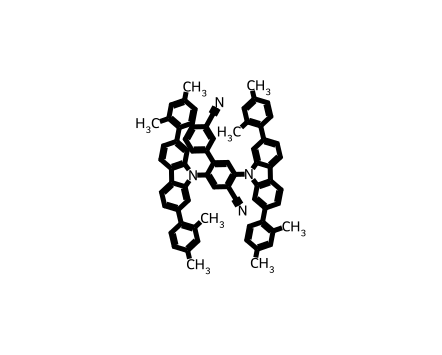 Cc1ccc(-c2ccc3c4ccc(-c5ccc(C)cc5C)cc4n(-c4cc(-c5cccc(C#N)c5)c(-n5c6cc(-c7ccc(C)cc7C)ccc6c6ccc(-c7ccc(C)cc7C)cc65)cc4C#N)c3c2)c(C)c1